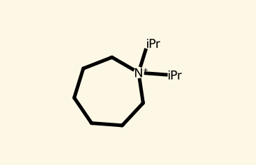 CC(C)[N+]1(C(C)C)CCCCCC1